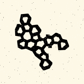 c1ccc(-c2ccc3c4c2-c2ccccc2-c2cccc5ccc(c4c25)n3-c2nc3ccc4ccccc4c3nc2-c2cccc3c2sc2ccccc23)cc1